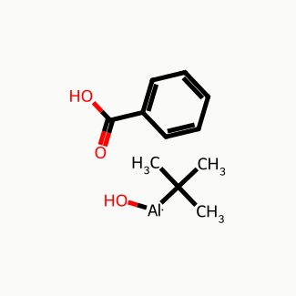 C[C](C)(C)[Al][OH].O=C(O)c1ccccc1